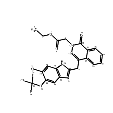 CCOC(=O)Cn1nc(Cc2nc3cc(OC(F)(F)F)c(Cl)cc3[nH]2)c2ccccc2c1=O